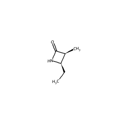 CC[C@H]1NC(=O)[C@H]1C